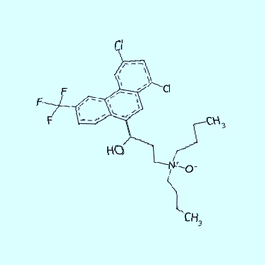 CCCC[N+]([O-])(CCCC)CCC(O)c1cc2c(Cl)cc(Cl)cc2c2cc(C(F)(F)F)ccc12